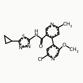 COc1cnc(Cl)cc1-c1cc(C)ncc1C(=O)Nc1nnc(C2CC2)s1